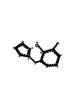 Cc1cccc(Cn2c[c]cn2)c1Cl